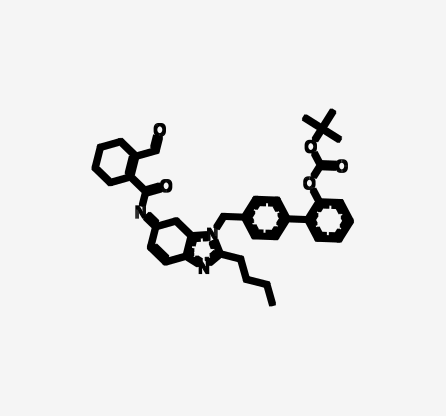 CCCCc1nc2c(n1Cc1ccc(-c3ccccc3OC(=O)OC(C)(C)C)cc1)CC(=NC(=O)C1=C(C=O)CCCC1)C=C2